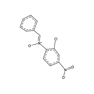 O=[N+]([O-])c1ccc([N+]([O-])=Cc2ccccc2)c(Cl)c1